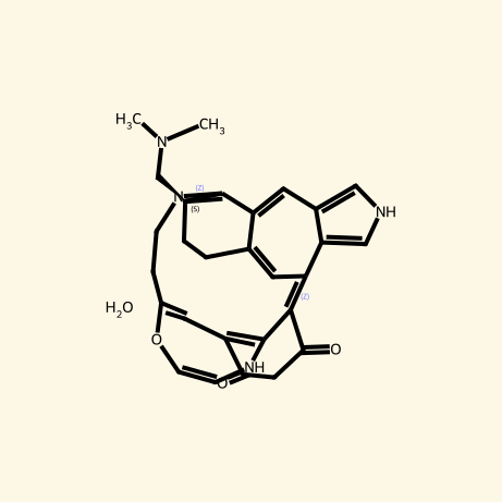 CN(C)C[C@@H]1CCC2=C/C3=C4/C(=O)CC(=O)c5cc(occ[nH]c54)CC/N=C/1C2=Cc1c[nH]cc13.O